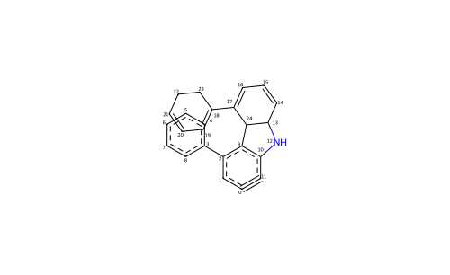 c1cc(-c2ccccc2)c2c(c#1)NC1C=CC=C(C3=CC=CCC3)C21